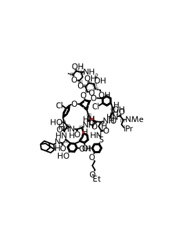 CCOCCCOc1ccc(SNC(=O)C[C@@H]2NC(=O)[C@H](NC(=O)[C@H](CC(C)C)NC)[C@H](O)c3ccc(c(Cl)c3)Oc3cc4cc(c3O[C@@H]3O[C@H](CO)[C@H](O)[C@H](O)[C@@H]3O[C@H]3C[C@](C)(N)[C@H](O)[C@H](C)O3)Oc3ccc(cc3Cl)[C@H](O)[C@H]3NC(=O)[C@@H](NC(=O)[C@@H]4NC2=O)c2ccc(O)c(c2)-c2c(O)cc(O)cc2[C@@H](C(=O)NC2C4CC5CC(C4)CC2C5)NC3=O)cc1